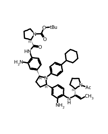 CC=C(Nc1ccc([C@H]2CC[C@H](c3ccc(NC(=O)[C@@H]4CCCN4C(=O)OC(C)(C)C)c(N)c3)N2c2ccc(C3CCCCC3)cc2)cc1N)[C@@H]1CCCN1C(C)=O